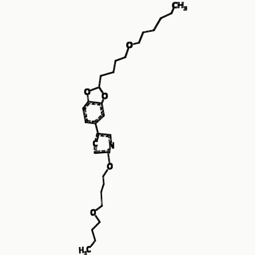 CCCCCCOCCCCC1Oc2ccc(-c3ccc(OCCCCOCCCC)nc3)cc2O1